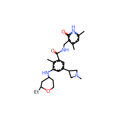 CCC1CC(Nc2cc(C3CN(C)C3)cc(C(=O)NCc3c(C)cc(C)[nH]c3=O)c2C)CCO1